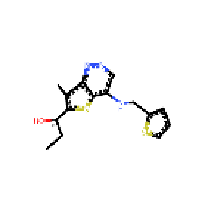 CC[C@@H](O)c1sc2c(NCc3cccs3)cnnc2c1C